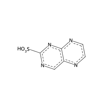 O=S(=O)(O)c1ncc2nccnc2n1